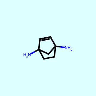 NC12C=CC(N)(CC1)C2